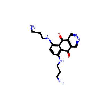 NCCCNc1ccc(NCCCN)c2c1C(=O)c1cnncc1C2=O